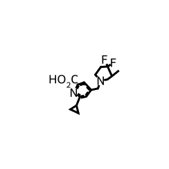 CC1CN(Cc2cc(C(=O)O)nc(C3CC3)c2)CCC1(F)F